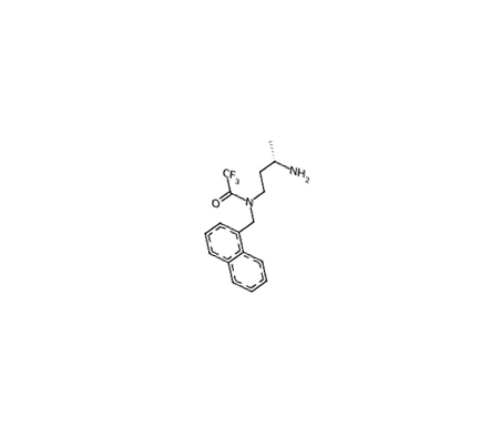 C[C@H](N)CCN(Cc1cccc2ccccc12)C(=O)C(F)(F)F